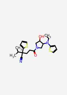 CCN(c1cccs1)C1CN(C(=O)CCC(C#N)(c2cccs2)C(C)C)CC1O